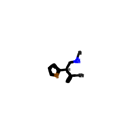 C=C(C(C)C)[C@H](CNC(C)C)c1cccs1